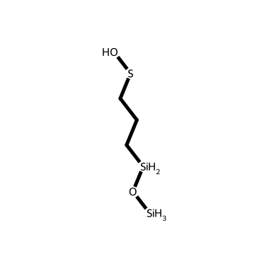 OSCCC[SiH2]O[SiH3]